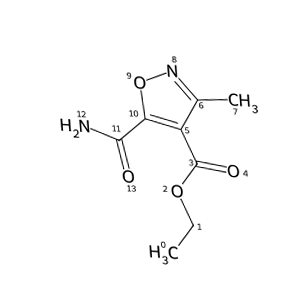 CCOC(=O)c1c(C)noc1C(N)=O